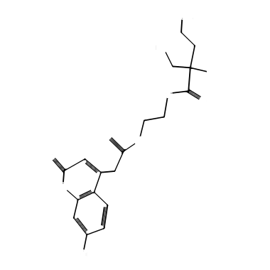 CCCC(C)(CC)C(=O)OCCOC(=O)Cc1cc(=O)oc2cc(O)ccc12